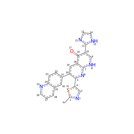 Cc1ncc(-c2nc3[nH]cc(-c4ncc[nH]4)c(=O)c3cc2-c2ccc3ncccc3c2)s1